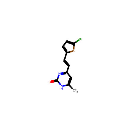 O=c1nc(/C=C/c2ccc(Br)s2)cc(C(F)(F)F)[nH]1